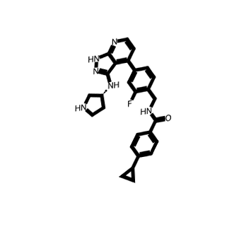 O=C(NCc1ccc(-c2ccnc3[nH]nc(N[C@@H]4CCNC4)c23)cc1F)c1ccc(C2CC2)cc1